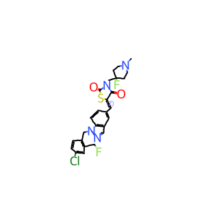 CN1CCC(F)(CN2C(=O)S/C(=C\c3ccc4c(cnn4Cc4ccc(Cl)cc4CF)c3)C2=O)CC1